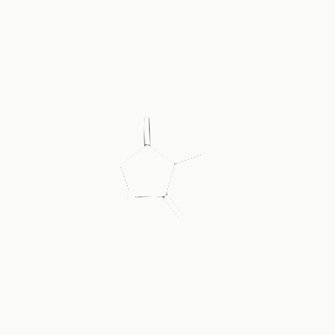 O=C1COC(=O)C1Cl